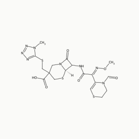 CON=C(C(=O)NC1C(=O)N2CC(CSc3nnnn3C)(C(=O)O)CS[C@H]12)C1=CSCCN1C=O